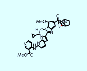 COC(=O)c1cnccc1Nc1ccc2cc(-c3nc4cc(C(=O)N5CC6CCC5[C@@H]6N)cc(OC)c4n3C)n(CC3CC3)c2n1